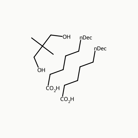 CC(C)(CO)CO.CCCCCCCCCCCCCCC(=O)O.CCCCCCCCCCCCCCC(=O)O